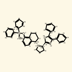 CC(C)(C)[Si](Oc1cccc2c1CCC[C@@H]2N1CCC[C@@H]1c1nc(-c2ccccc2)c(-c2ccccc2)o1)(c1ccccc1)c1ccccc1